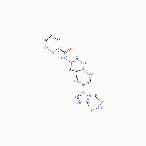 O=C(Nc1cc2cc(-c3cnc4n3CCNC4)ccc2nn1)[C@@H]1CCCNC1